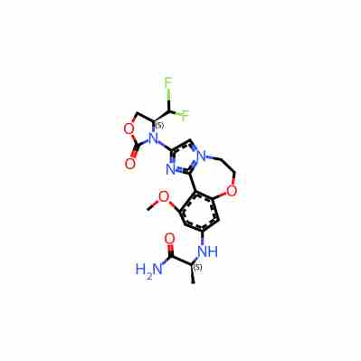 COc1cc(N[C@@H](C)C(N)=O)cc2c1-c1nc(N3C(=O)OC[C@H]3C(F)F)cn1CCO2